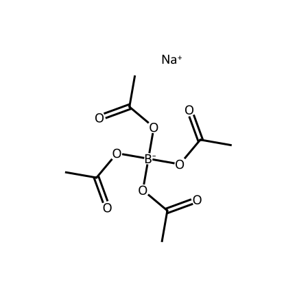 CC(=O)O[B-](OC(C)=O)(OC(C)=O)OC(C)=O.[Na+]